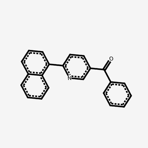 O=C(c1ccccc1)c1ccc(-c2cccc3ccccc23)nc1